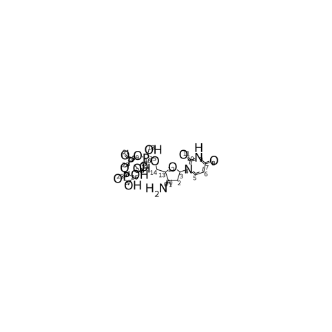 N[C@@H]1CC(n2ccc(=O)[nH]c2=O)OC1COP(=O)(O)OP(=O)(O)OP(=O)(O)O